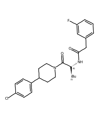 CC[C@H](C)[C@@H](NC(=O)Cc1cccc(F)c1)C(=O)N1CCC(c2ccc(Cl)cc2)CC1